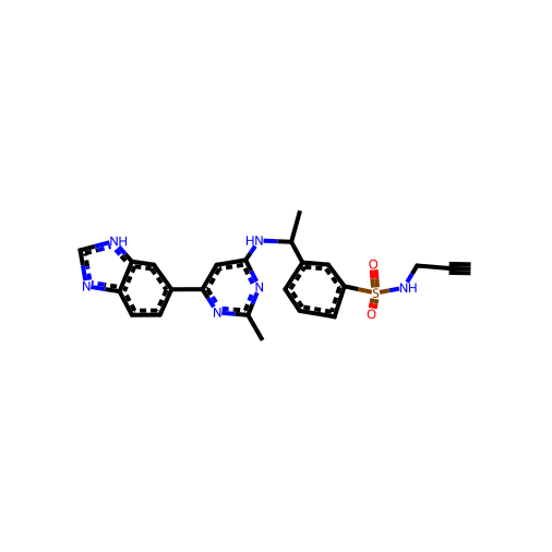 C#CCNS(=O)(=O)c1cccc(C(C)Nc2cc(-c3ccc4nc[nH]c4c3)nc(C)n2)c1